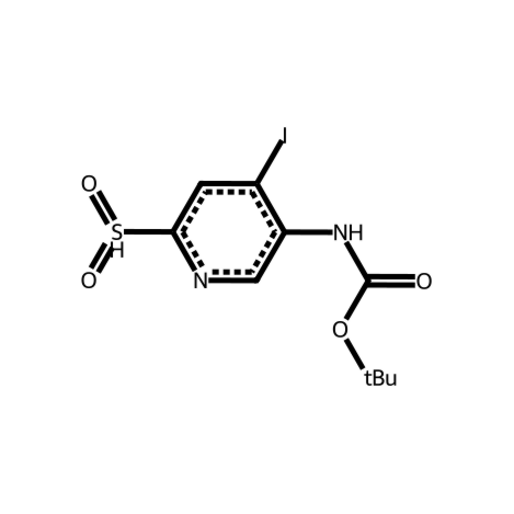 CC(C)(C)OC(=O)Nc1cnc([SH](=O)=O)cc1I